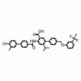 Cc1cc(-c2ccc(C(=O)Nc3cc(C(C)C)c(-c4ccc(COc5cccc(C(F)(F)F)c5)cc4)cc3C(=O)O)cc2)ccc1Cl